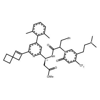 COC(=O)C[C@H](NC(=O)C(CC(C)C)n1cc(CCN(C)C)c(C(F)(F)F)cc1=O)c1cc(-c2c(C)cccc2C)cc(C2=CC3(CCC3)C2)n1